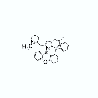 CN1CCCC1Cc1cc2cc(F)ccc2n1[C@H]1c2ccccc2Oc2cccc(Cc3ccccc3)c21